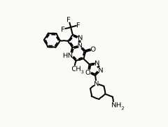 Cc1[nH]c2c(-c3ccccc3)c(C(F)(F)F)nn2c(=O)c1-c1nnc(N2CCCC(CN)C2)o1